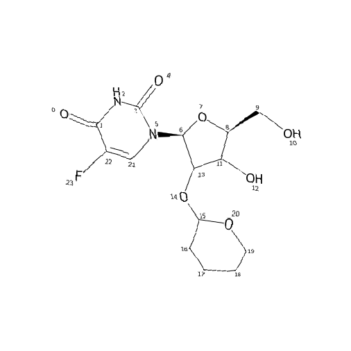 O=c1[nH]c(=O)n([C@H]2O[C@@H](CO)C(O)C2OC2CCCCO2)cc1F